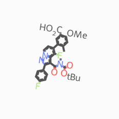 COc1cc(C)c(-c2ccn3nc(-c4ccc(F)cc4)c(C(=O)N(C)C(=O)OC(C)(C)C)c3c2F)cc1C(=O)O